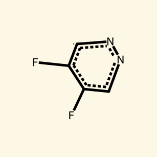 Fc1[c]nncc1F